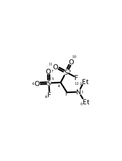 CCN(CC)CC(S(=O)(=O)F)S(=O)(=O)F